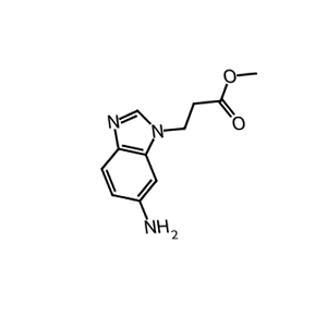 COC(=O)CCn1cnc2ccc(N)cc21